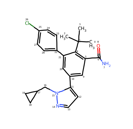 CC(C)(C)c1c(C(N)=O)cc(-c2ccnn2CC2CC2)cc1-c1ccc(Cl)cc1